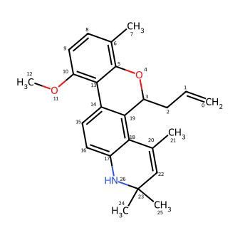 C=CCC1Oc2c(C)ccc(OC)c2-c2ccc3c(c21)C(C)=CC(C)(C)N3